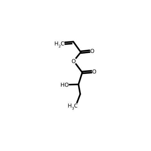 C=CC(=O)OC(=O)C(O)CC